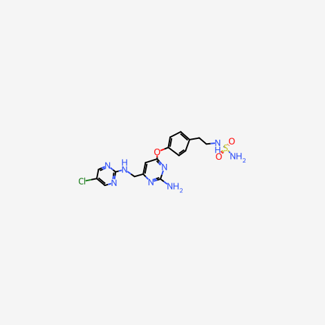 Nc1nc(CNc2ncc(Cl)cn2)cc(Oc2ccc(CCNS(N)(=O)=O)cc2)n1